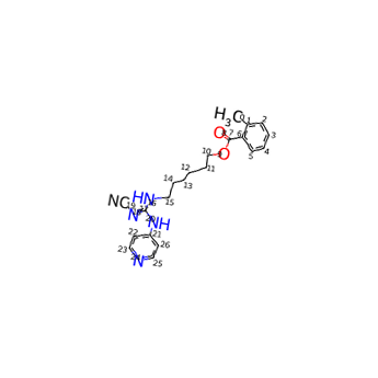 Cc1ccccc1C(=O)OCCCCCCN/C(=N\C#N)Nc1ccncc1